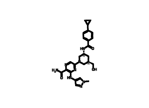 Cn1cc(Nc2nc(N3C[C@H](CO)C[C@@H](NC(=O)c4ccc(C5CC5)cc4)C3)cnc2C(N)=O)cn1